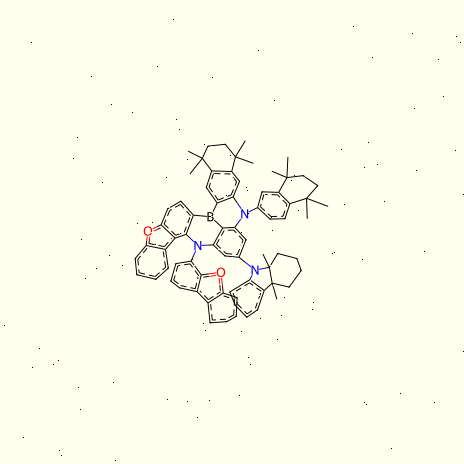 CC1(C)CCC(C)(C)c2cc(N3c4cc5c(cc4B4c6ccc7oc8ccccc8c7c6N(c6cccc7c6oc6ccccc67)c6cc(N7c8ccccc8C8(C)CCCCC78C)cc3c64)C(C)(C)CCC5(C)C)ccc21